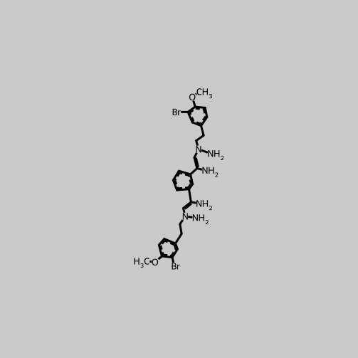 COc1ccc(CCN(N)/C=C(\N)c2cccc(/C(N)=C/N(N)CCc3ccc(OC)c(Br)c3)c2)cc1Br